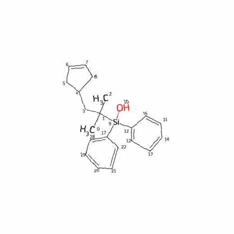 CC(C)(CC1CC=CC1)[Si](O)(c1ccccc1)c1ccccc1